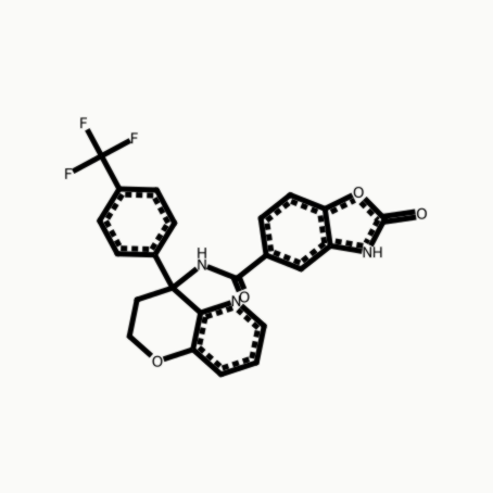 O=C(NC1(c2ccc(C(F)(F)F)cc2)CCOc2cccnc21)c1ccc2oc(=O)[nH]c2c1